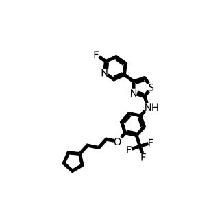 Fc1ccc(-c2csc(Nc3ccc(OCCCC4CCCC4)c(C(F)(F)F)c3)n2)cn1